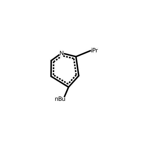 CCCCc1ccnc(C(C)C)c1